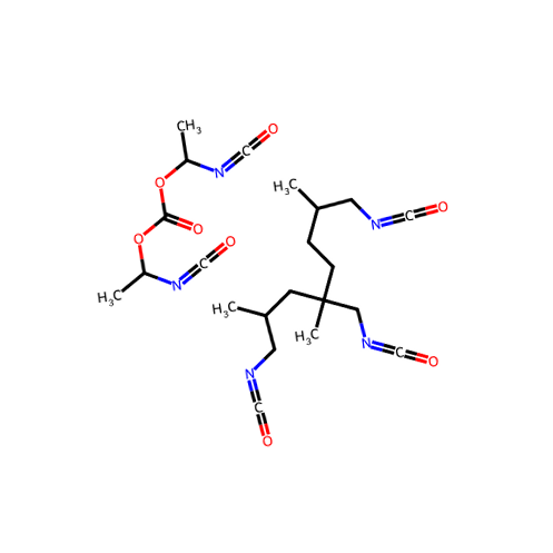 CC(CCC(C)(CN=C=O)CC(C)CN=C=O)CN=C=O.CC(N=C=O)OC(=O)OC(C)N=C=O